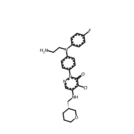 NCCN(c1ccc(F)cc1)c1ccc(-n2ncc(NC[C@H]3CCCOC3)c(Cl)c2=O)cc1